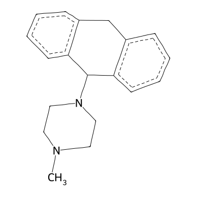 CN1CCN(C2c3ccccc3Cc3ccccc32)CC1